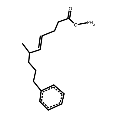 CC(/C=C/CCC(=O)OP)CCCc1ccccc1